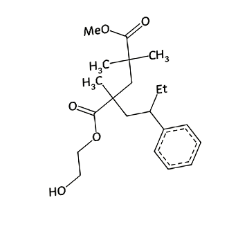 CCC(CC(C)(CC(C)(C)C(=O)OC)C(=O)OCCO)c1ccccc1